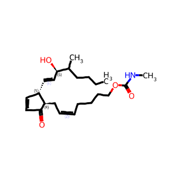 CCCCC(C)[C@H](O)/C=C/[C@H]1C=CC(=O)[C@@H]1C/C=C\CCCCOC(=O)NC